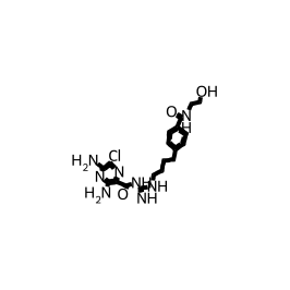 N=C(NCCCCc1ccc(C(=O)NCCO)cc1)NC(=O)c1nc(Cl)c(N)nc1N